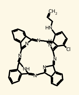 C=CCNc1ccc(Cl)c2c3nc4nc(nc5[nH]c(nc6nc(nc([nH]3)c12)-c1ccccc1-6)c1ccccc51)-c1ccccc1-4